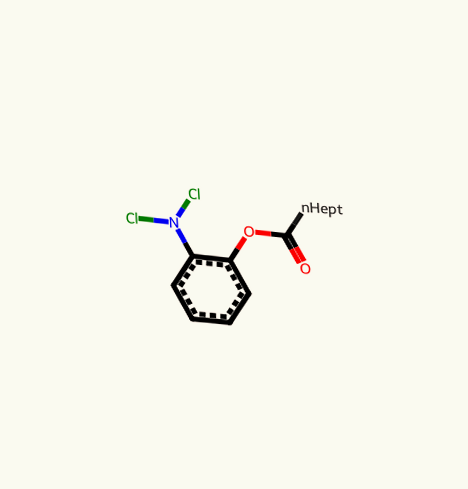 CCCCCCCC(=O)Oc1ccccc1N(Cl)Cl